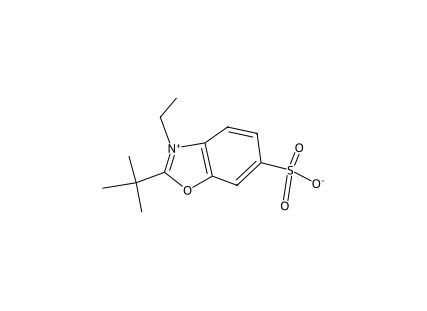 CC[n+]1c(C(C)(C)C)oc2cc(S(=O)(=O)[O-])ccc21